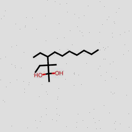 CCCCCCCC(CC)C(C)(CC)C(C)(O)O